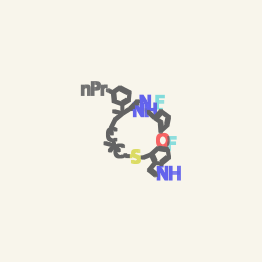 CCCc1cccc(C2(C)CCCC(C)(C)CCSCc3c(c(F)cc4[nH]ccc34)Oc3ccc(F)c(c3)-c3ncc2[nH]3)c1